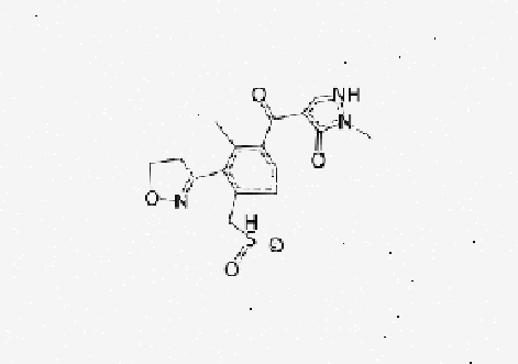 Cc1c(C(=O)c2c[nH]n(C)c2=O)ccc(C[SH](=O)=O)c1C1=NOCC1